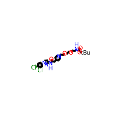 CC(C)(C)OC(=O)NCCOCCOCCN1CCC(CC(=O)NC2=NN(c3ccc(Cl)c(Cl)c3)CC2)CC1